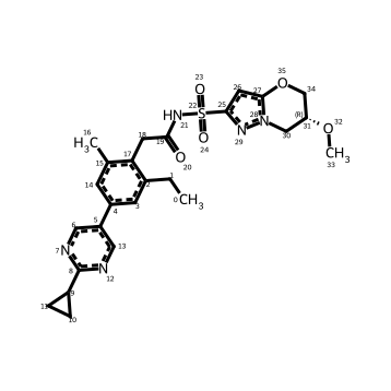 CCc1cc(-c2cnc(C3CC3)nc2)cc(C)c1CC(=O)NS(=O)(=O)c1cc2n(n1)C[C@@H](OC)CO2